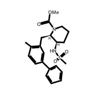 COC(=O)N1CCC[C@@H](NS(C)(=O)=O)[C@H]1Cc1cc(-c2ccccc2)ccc1C